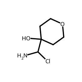 NC(Cl)C1(O)CCOCC1